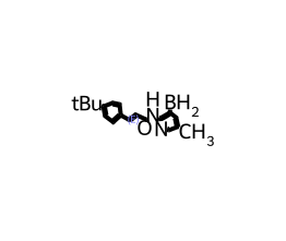 Bc1cc(C)cnc1NC(=O)/C=C/c1ccc(C(C)(C)C)cc1